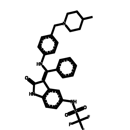 CC1CCN(Cc2ccc(N/C(=C3\C(=O)Nc4ccc(NS(=O)(=O)C(F)(F)F)cc43)c3ccccc3)cc2)CC1